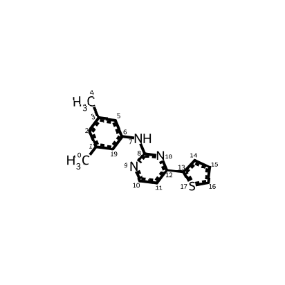 Cc1cc(C)cc(Nc2nccc(-c3cccs3)n2)c1